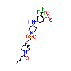 CCCCC(=O)N1CCN(CCS(=O)(=O)N2CCC(Nc3ccc([N+](=O)[O-])c(C(F)(F)F)c3)CC2)CC1